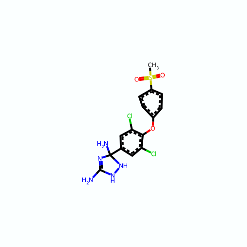 CS(=O)(=O)c1ccc(Oc2c(Cl)cc(C3(N)N=C(N)NN3)cc2Cl)cc1